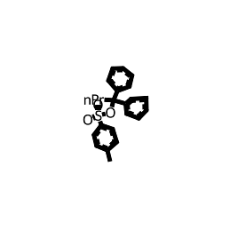 CCCC(OS(=O)(=O)c1ccc(C)cc1)(c1ccccc1)c1ccccc1